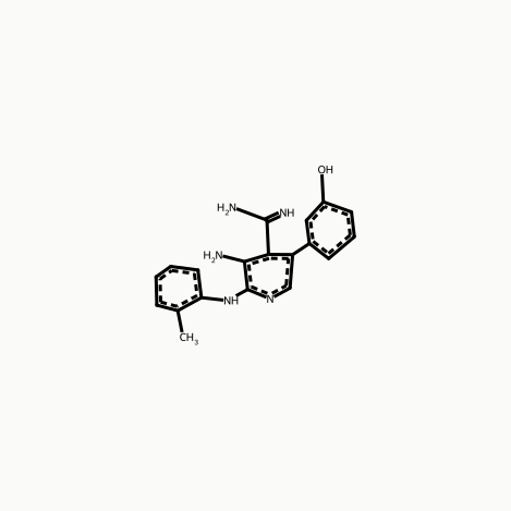 Cc1ccccc1Nc1ncc(-c2cccc(O)c2)c(C(=N)N)c1N